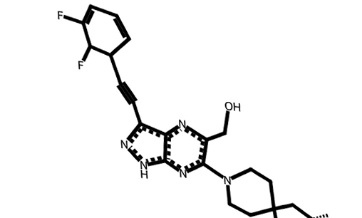 C[C@H]1CC2(CCN(c3nc4[nH]nc(C#CC5C=CC=C(F)C5F)c4nc3CO)CC2)CO1